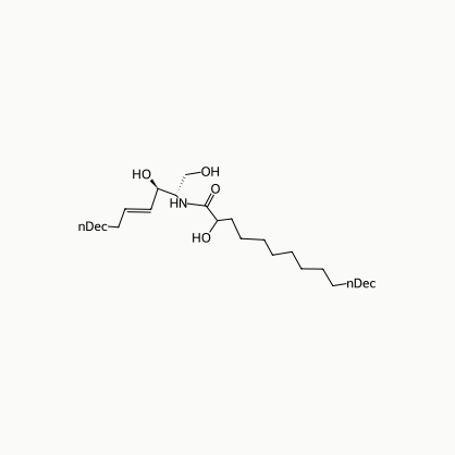 CCCCCCCCCCC/C=C/[C@@H](O)[C@H](CO)NC(=O)C(O)CCCCCCCCCCCCCCCCCC